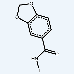 O=C(NI)c1ccc2c(c1)OCO2